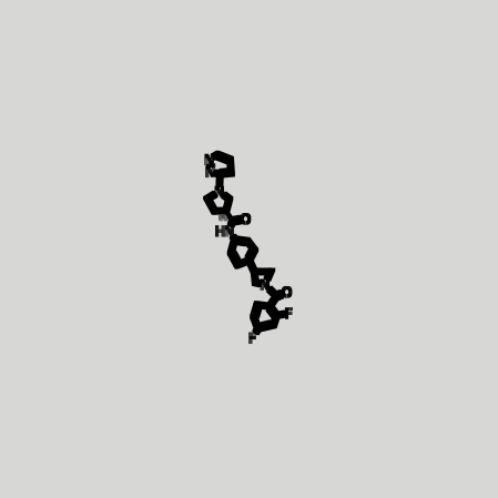 O=C(Nc1ccc(C2CN(C(=O)c3ccc(F)cc3F)C2)cc1)[C@H]1CCN(c2cccnn2)C1